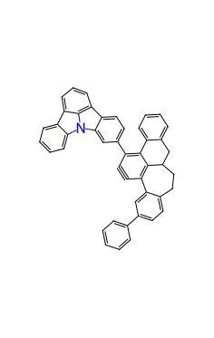 c1c(-c2ccc3c4cccc5c6ccccc6n(c3c2)c54)c2c3c(c#1)-c1cc(-c4ccccc4)ccc1CCC3Cc1ccccc1-2